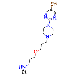 CCNCCCOCCCN1CCN(c2ncc(S)cn2)CC1